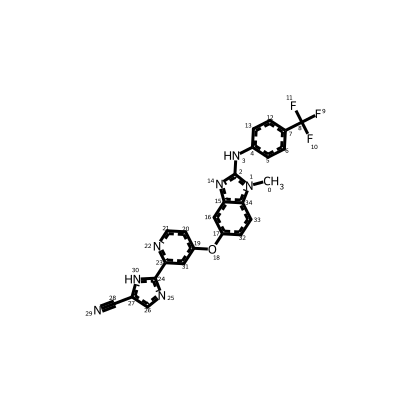 Cn1c(Nc2ccc(C(F)(F)F)cc2)nc2cc(Oc3ccnc(-c4ncc(C#N)[nH]4)c3)ccc21